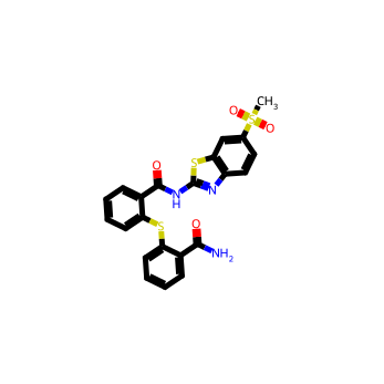 CS(=O)(=O)c1ccc2nc(NC(=O)c3ccccc3Sc3ccccc3C(N)=O)sc2c1